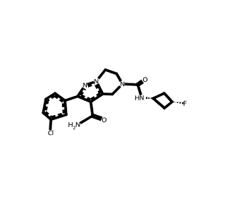 NC(=O)c1c(-c2cccc(Cl)c2)nn2c1CN(C(=O)N[C@H]1C[C@@H](F)C1)CC2